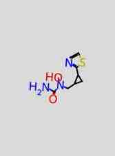 NC(=O)N(O)CC1CC1c1nccs1